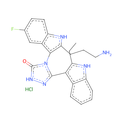 CCc1[nH]c2ccccc2c1-c1n[nH]c(=O)n1-c1c(CCCN)[nH]c2ccc(F)cc12.Cl